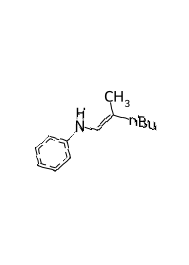 CCCC/C(C)=C/Nc1ccccc1